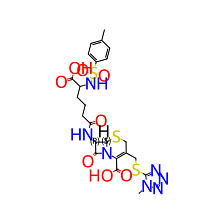 Cc1ccc(S(=O)(=O)NC(CCCC(=O)N[C@@H]2C(=O)N3C(C(=O)O)=C(CSc4nnnn4C)CS[C@@H]23)C(=O)O)cc1